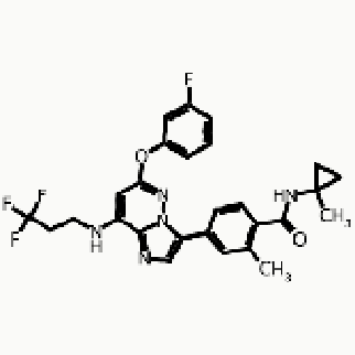 Cc1cc(-c2cnc3c(NCCC(F)(F)F)cc(Oc4cccc(F)c4)nn23)ccc1C(=O)NC1(C)CC1